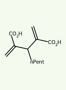 C=C(C(=O)O)C(CCCCC)C(=C)C(=O)O